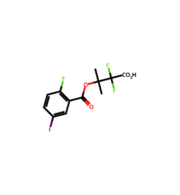 CC(C)(OC(=O)c1cc(I)ccc1F)C(F)(F)C(=O)O